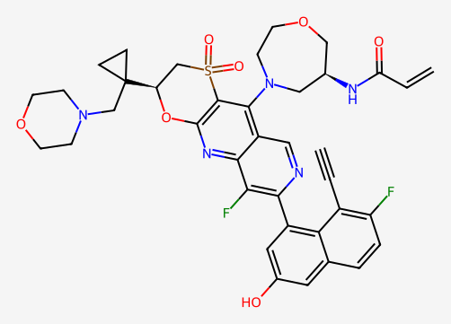 C#Cc1c(F)ccc2cc(O)cc(-c3ncc4c(N5CCOC[C@@H](NC(=O)C=C)C5)c5c(nc4c3F)O[C@@H](C3(CN4CCOCC4)CC3)CS5(=O)=O)c12